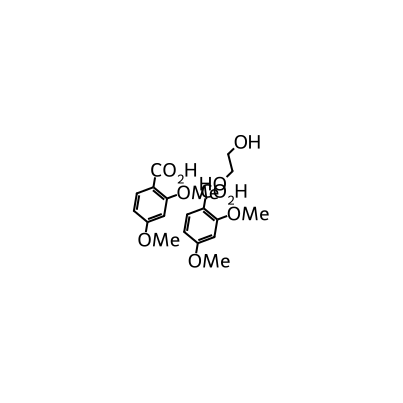 COc1ccc(C(=O)O)c(OC)c1.COc1ccc(C(=O)O)c(OC)c1.OCCO